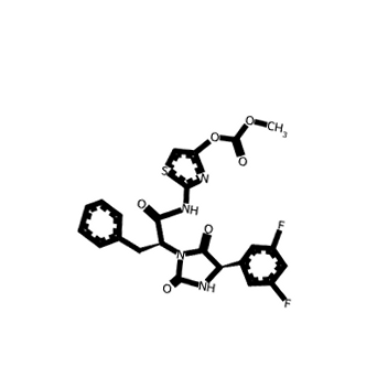 COC(=O)Oc1csc(NC(=O)[C@H](Cc2ccccc2)N2C(=O)N[C@H](c3cc(F)cc(F)c3)C2=O)n1